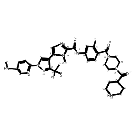 CNc1ccc(-n2cc(-c3cnc(C(=O)Nc4ccc(C(=O)N5CCN(C(=O)C6CCNCC6)CC5)c(C)c4)n3C)c(C(F)(F)F)n2)nc1